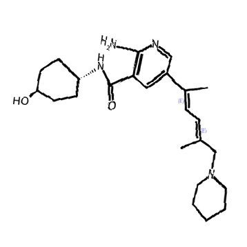 C/C(=C\C=C(/C)c1cnc(N)c(C(=O)N[C@H]2CC[C@H](O)CC2)c1)CN1CCCCC1